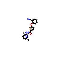 N#Cc1ccccc1Oc1ccc(C(=O)N[C@@H]2C[C@H]3CC[C@@H]2N3)s1